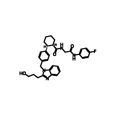 O=C(CNC(=O)[C@@H]1CCCC[C@H]1c1ccc(Cn2c(CCCO)nc3ccccc32)cc1)Nc1ccc(F)cc1